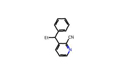 CCC(c1ccccc1)c1cccnc1C#N